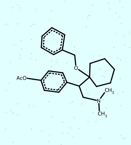 CC(=O)Oc1ccc(C(CN(C)C)C2(OCc3ccccc3)CCCCC2)cc1